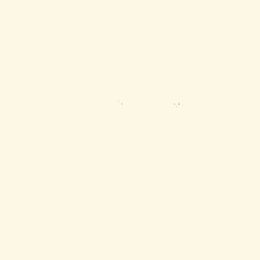 C=C(CC1N=Cc2cc(C)ccc2C1CCO)OC